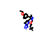 CCOc1ccc(-c2c(C)nn(COCC[Si](C)(C)C)c2-c2cc(C)nc(N)n2)cc1